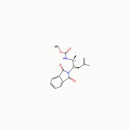 C=C(C)C[C@H]([C@H](C)NC(=O)OC(C)(C)C)N1C(=O)c2ccccc2C1=O